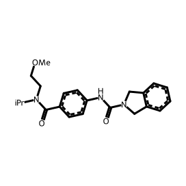 COCCN(C(=O)c1ccc(NC(=O)N2Cc3ccccc3C2)cc1)C(C)C